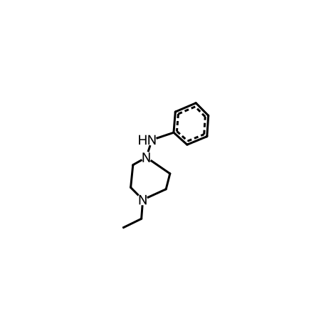 CCN1CCN(Nc2ccccc2)CC1